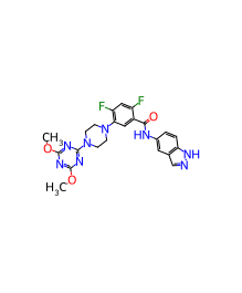 COc1nc(OC)nc(N2CCN(c3cc(C(=O)Nc4ccc5[nH]ncc5c4)c(F)cc3F)CC2)n1